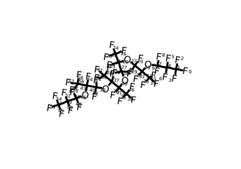 FC(F)(F)C(F)(F)C(F)(F)OC(F)(C(F)(F)F)C(F)(F)OC(F)(C(F)(F)F)C(F)(F)OC(F)(C(F)(F)F)C(F)(OC(F)(F)C(F)(OC(F)(F)C(F)(F)C(F)(F)F)C(F)(F)F)C(F)(F)F